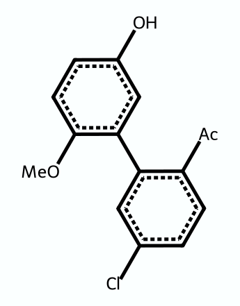 COc1ccc(O)cc1-c1cc(Cl)ccc1C(C)=O